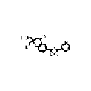 O=C1CC(CO)(CO)Oc2ccc(-c3nc(-c4cccnc4)no3)cc21